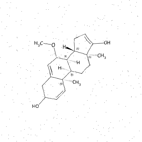 COC1C=C2CC(O)C=C[C@]2(C)[C@@H]2CC[C@]3(C)C(O)=CC[C@H]3[C@H]12